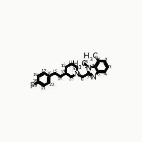 Cc1cccc2nc(CN3CCCC(CCc4ccc(F)cc4)C3)n(C)c12